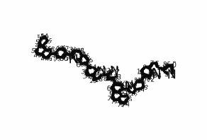 c1cncc(-c2ccc3ccc(-c4ccc5ccc(-c6cc(-c7cncc(-c8ccc9ccc(-c%10ccc%11ccc(-c%12ccc(-c%13ccc%14ccc%15ccccc%15c%14c%13)cc%12)nc%11c%10)cc9n8)c7)cc7ccc8ccccc8c67)nc5c4)cc3n2)c1